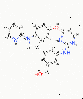 OCc1cccc(Nc2nccc(Oc3ccc4c(c3)CCN4c3ccccn3)n2)c1